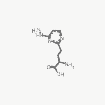 NNc1ccnc(CCC(N)C(=O)O)n1